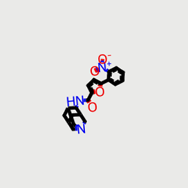 O=C(NC1C2CC3CC1CN(C3)C2)c1ccc(-c2ccccc2[N+](=O)[O-])o1